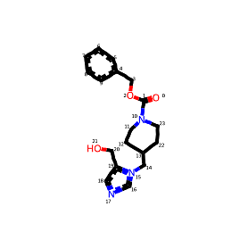 O=C(OCc1ccccc1)N1CCC(Cn2cncc2CO)CC1